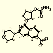 NC(=O)OC1CCN(c2nc(N3CCOCC3)nc3cc([N+](=O)[O-])ccc23)C1